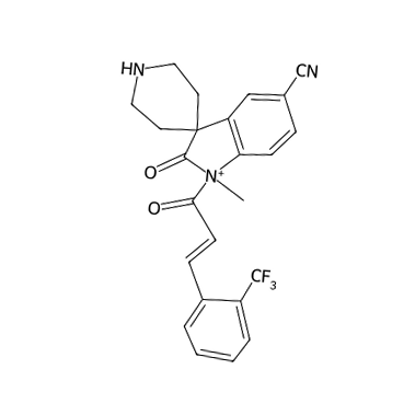 C[N+]1(C(=O)C=Cc2ccccc2C(F)(F)F)C(=O)C2(CCNCC2)c2cc(C#N)ccc21